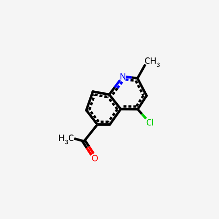 CC(=O)c1ccc2nc(C)cc(Cl)c2c1